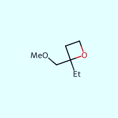 CCC1(COC)CCO1